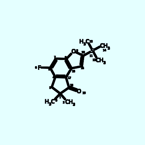 CC1(C)Cc2c(F)cc3oc([Si](C)(C)C)cc3c2C1=O